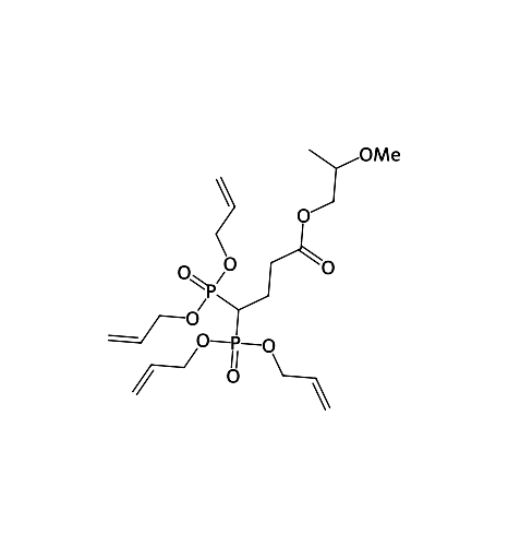 C=CCOP(=O)(OCC=C)C(CCC(=O)OCC(C)OC)P(=O)(OCC=C)OCC=C